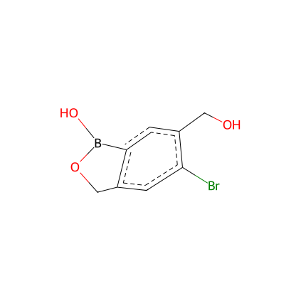 OCc1cc2c(cc1Br)COB2O